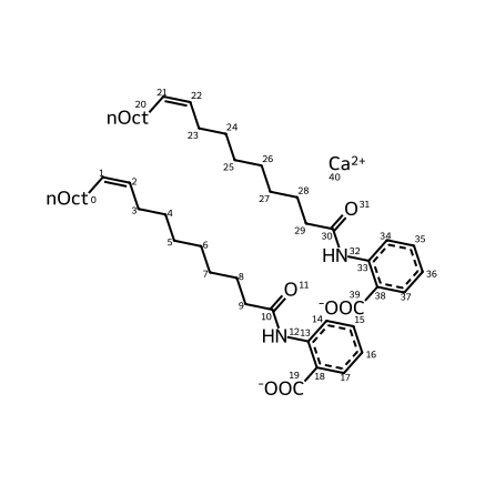 CCCCCCCC/C=C\CCCCCCCC(=O)Nc1ccccc1C(=O)[O-].CCCCCCCC/C=C\CCCCCCCC(=O)Nc1ccccc1C(=O)[O-].[Ca+2]